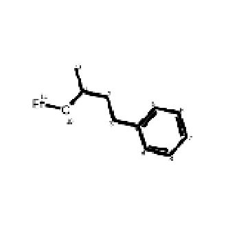 [CH2]C(CCc1ccccc1)OCC